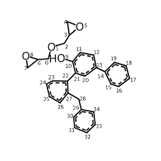 C(OCC1CO1)C1CO1.Oc1ccc(-c2ccccc2)cc1-c1ccccc1Cc1ccccc1